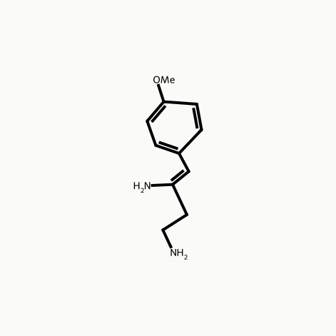 COc1ccc(C=C(N)CCN)cc1